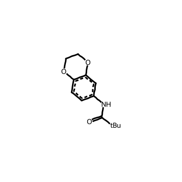 CC(C)(C)C(=O)Nc1ccc2c(c1)OCCO2